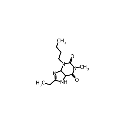 CCCCN1C(=O)N(C)C(=O)C2NC(CC)=NC21